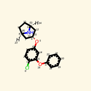 Clc1ccc(O[C@@H]2C[C@H]3CC[C@@H](C2)N3)cc1Oc1ccccc1